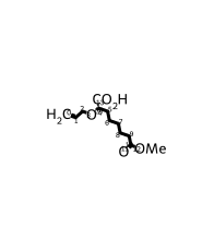 C=CCO[C@@H](CCCCCC(=O)OC)C(=O)O